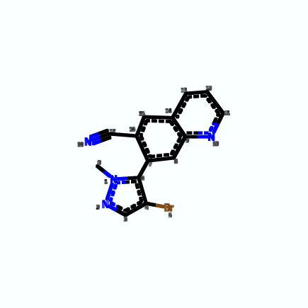 Cn1ncc(Br)c1-c1cc2ncccc2cc1C#N